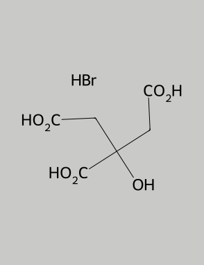 Br.O=C(O)CC(O)(CC(=O)O)C(=O)O